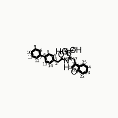 O=C(Cc1ccc(-c2ccccc2)cc1)N[C@H](Cc1coc2ccccc12)B(O)O